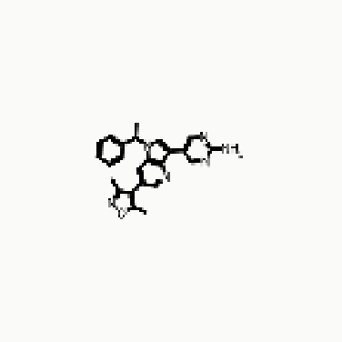 Cc1noc(C)c1-c1cnc2c(-c3cnc(N)nc3)cn(C(C)c3ccccc3)c2c1